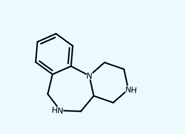 c1ccc2c(c1)CNCC1CNCCN21